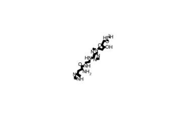 [3H]POCC1OC(n2cnc3c(NCCNC(=O)C(N)Cc4c[nH]cn4)ncnc32)CC1O